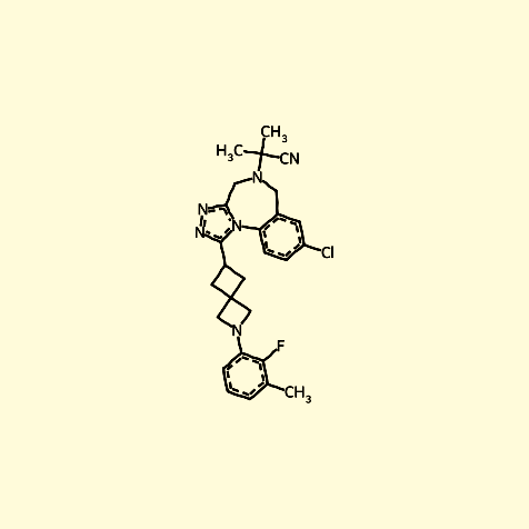 Cc1cccc(N2CC3(CC(c4nnc5n4-c4ccc(Cl)cc4CN(C(C)(C)C#N)C5)C3)C2)c1F